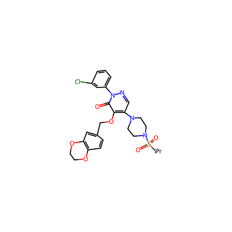 CC(C)S(=O)(=O)N1CCN(c2cnn(-c3cccc(Cl)c3)c(=O)c2OCc2ccc3c(c2)OCCO3)CC1